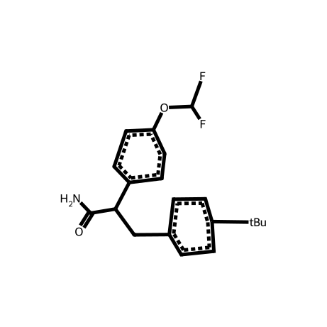 CC(C)(C)c1ccc(CC(C(N)=O)c2ccc(OC(F)F)cc2)cc1